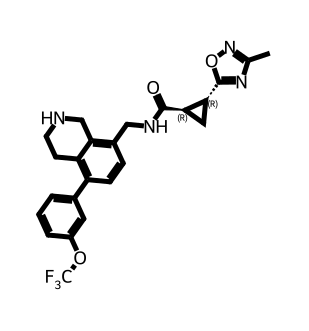 Cc1noc([C@@H]2C[C@H]2C(=O)NCc2ccc(-c3cccc(OC(F)(F)F)c3)c3c2CNCC3)n1